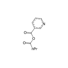 CC[CH]C(=O)OC(=O)c1cccnc1